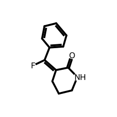 O=C1NCCCC1=C(F)c1ccccc1